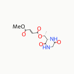 COC(=O)/C=C/C(=O)O[C@H](C)[C@@H]1NC(=O)CNC1=O